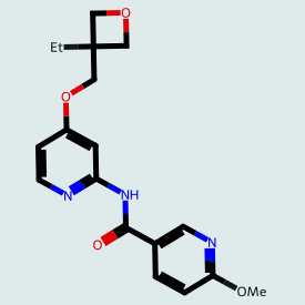 CCC1(COc2ccnc(NC(=O)c3ccc(OC)nc3)c2)COC1